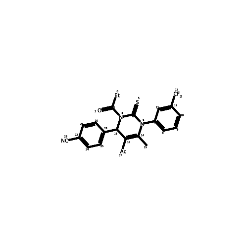 CCC(=O)N1C(=S)N(c2cccc(C(F)(F)F)c2)C(C)=C(C(C)=O)C1c1ccc(C#N)cc1